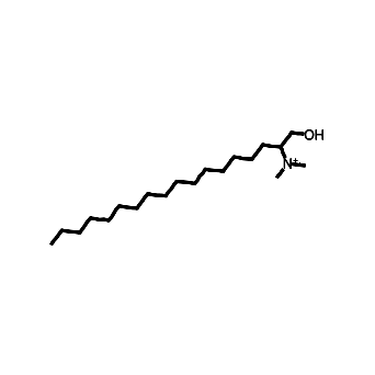 CCCCCCCCCCCCCCCCC(CO)[N+](C)C